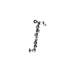 CN(CCOCCOCCOCCOCCOCCOCCO)Cc1ccccc1